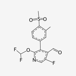 Cc1cc(-c2c(OC(F)F)ncc(F)c2C=O)ccc1S(C)(=O)=O